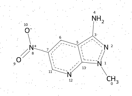 Cn1nc(N)c2cc([N+](=O)[O-])cnc21